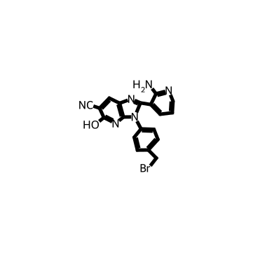 N#Cc1cc2nc(-c3cccnc3N)n(-c3ccc(CBr)cc3)c2nc1O